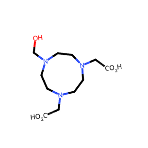 O=C(O)CN1CCN(CO)CCN(CC(=O)O)CC1